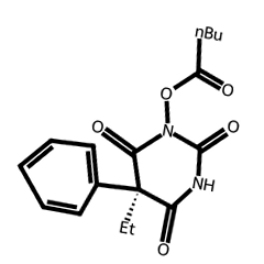 CCCCC(=O)ON1C(=O)NC(=O)[C@@](CC)(c2ccccc2)C1=O